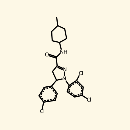 CC1CCC(NC(=O)C2=NN(c3ccc(Cl)cc3Cl)C(c3ccc(Cl)cc3)C2)CC1